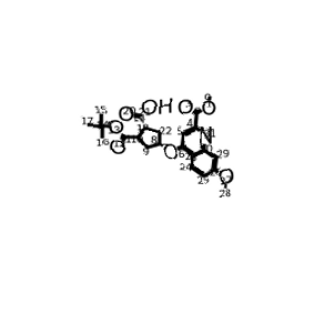 COC(=O)c1cc(O[C@H]2CC(C(=O)OC(C)(C)C)[C@H](C(=O)O)C2)c2ccc(OC)cc2n1